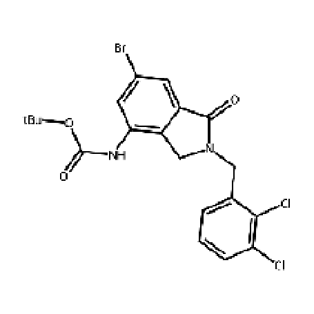 CC(C)(C)OC(=O)Nc1cc(Br)cc2c1CN(Cc1cccc(Cl)c1Cl)C2=O